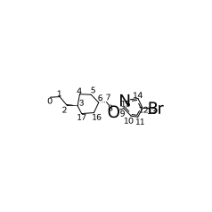 CCC[C@H]1CC[C@H](COc2ccc(Br)cn2)CC1